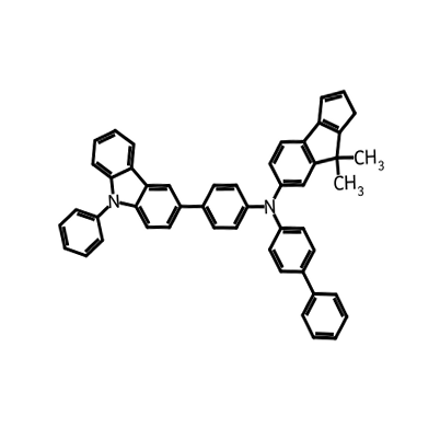 CC1(C)C2=C(C=CC2)c2ccc(N(c3ccc(-c4ccccc4)cc3)c3ccc(-c4ccc5c(c4)c4ccccc4n5-c4ccccc4)cc3)cc21